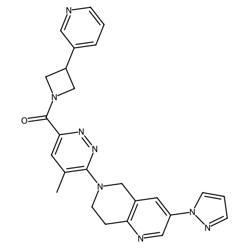 Cc1cc(C(=O)N2CC(c3cccnc3)C2)nnc1N1CCc2ncc(-n3cccn3)cc2C1